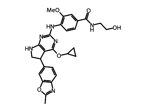 COc1cc(C(=O)NCCO)ccc1Nc1nc2c(c(OC3CC3)n1)C(c1ccc3nc(C)oc3c1)CN2